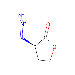 [N-]=[N+]=N[C@@H]1CCOC1=O